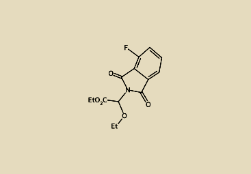 CCOC(=O)C(OCC)N1C(=O)c2cccc(F)c2C1=O